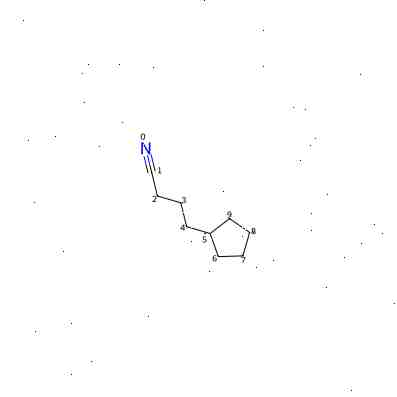 N#CCCC[C]1CCCC1